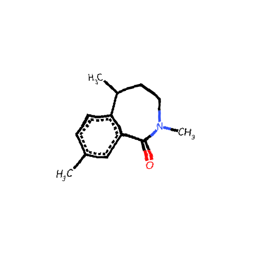 Cc1ccc2c(c1)C(=O)N(C)CCC2C